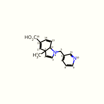 CC12C=CN(Cc3cccnc3)C1C=CC(C(=O)O)=C2